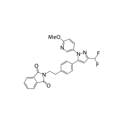 COc1ccc(-n2nc(C(F)F)cc2-c2ccc(CCN3C(=O)c4ccccc4C3=O)cc2)cn1